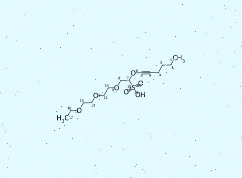 CCCCC#COC(COCCOCCOCC)S(=O)(=O)O